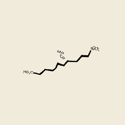 CCCCCCCCCCCCCCCCCC(=O)O.[Co].[Mo]